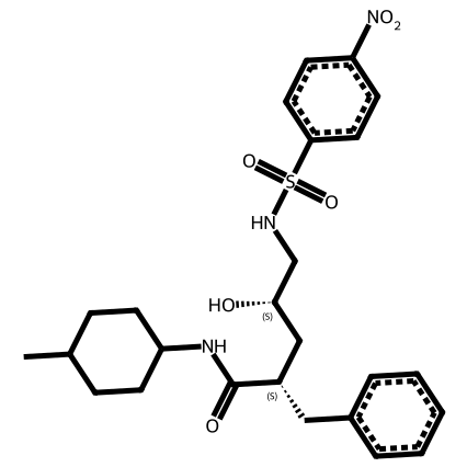 CC1CCC(NC(=O)[C@@H](Cc2ccccc2)C[C@H](O)CNS(=O)(=O)c2ccc([N+](=O)[O-])cc2)CC1